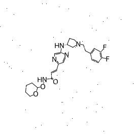 O=C(/C=C/c1cnc(N[C@@H]2CCN(CCc3ccc(F)c(F)c3)C2)cn1)NOC1CCCCO1